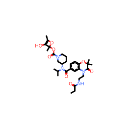 CCC(=O)NCCN1C(=O)C(C)(C)Oc2ccc(C(=O)N(C(C)C)[C@@H]3CCCN(C(=O)OC4(C)OC(C)=C4O)C3)cc21